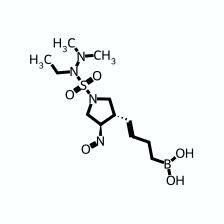 CCN(N(C)C)S(=O)(=O)N1C[C@H](N=O)[C@@H](/C=C/CCB(O)O)C1